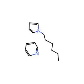 CCCCCCn1cccc1.c1ccncc1